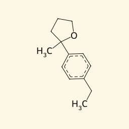 CCc1ccc(C2(C)CCCO2)cc1